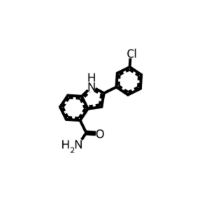 NC(=O)c1cccc2[nH]c(-c3cccc(Cl)c3)cc12